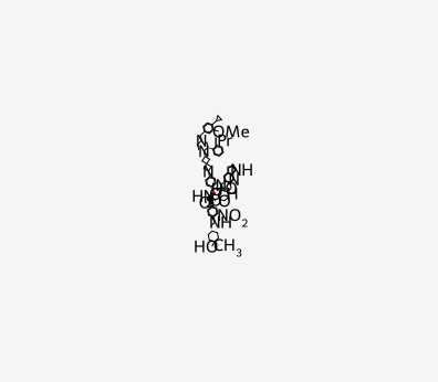 COc1cc(CN2CCN(C3CC4(C3)CN(c3ccc(C(=O)NS(=O)(=O)c5ccc(NC[C@H]6CC[C@](C)(O)CC6)c([N+](=O)[O-])c5)c(N5c6cc7cc[nH]c7nc6O[C@H]6COCC[C@@H]65)c3)C4)[C@H](c3ccccc3C(C)C)C2)ccc1C1CC1